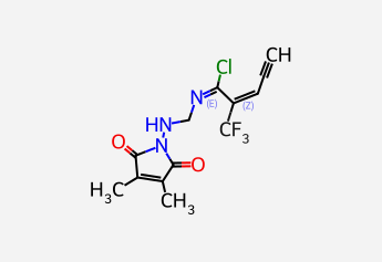 C#C/C=C(\C(Cl)=N/CNN1C(=O)C(C)=C(C)C1=O)C(F)(F)F